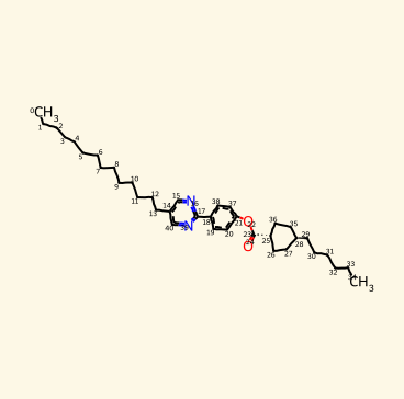 CCCCCCCCCCCCCCc1cnc(-c2ccc(OC(=O)[C@H]3CC[C@H](CCCCCC)CC3)cc2)nc1